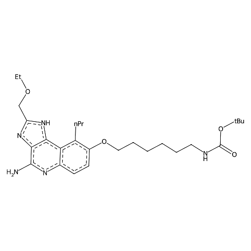 CCCc1c(OCCCCCCNC(=O)OC(C)(C)C)ccc2nc(N)c3nc(COCC)[nH]c3c12